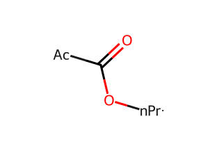 CC[CH]OC(=O)C(C)=O